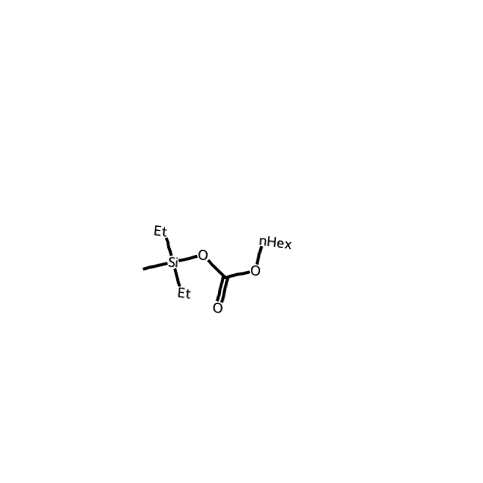 CCCCCCOC(=O)O[Si](C)(CC)CC